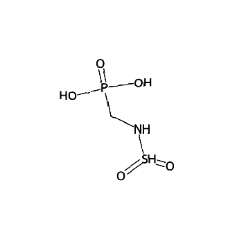 O=[SH](=O)NCP(=O)(O)O